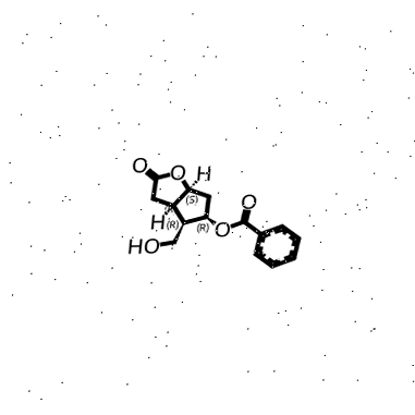 O=C1C[C@@H]2[C@H](CO)[C@H](OC(=O)c3ccccc3)C[C@@H]2O1